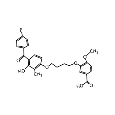 COc1ccc(C(=O)O)cc1OCCCCOc1ccc(C(=O)c2ccc(F)cc2)c(O)c1C